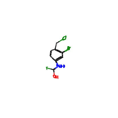 OC(F)Nc1ccc(CCl)c(Br)c1